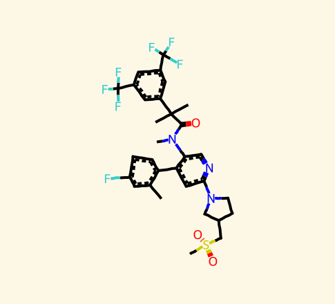 Cc1cc(F)ccc1-c1cc(N2CCC(CS(C)(=O)=O)C2)ncc1N(C)C(=O)C(C)(C)c1cc(C(F)(F)F)cc(C(F)(F)F)c1